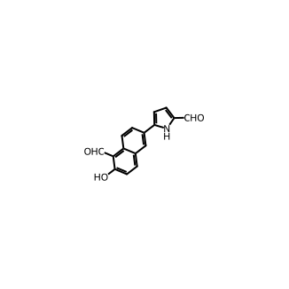 O=Cc1ccc(-c2ccc3c(C=O)c(O)ccc3c2)[nH]1